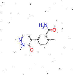 Cc1ccc(-c2ccnn(C)c2=O)cc1C(N)=O